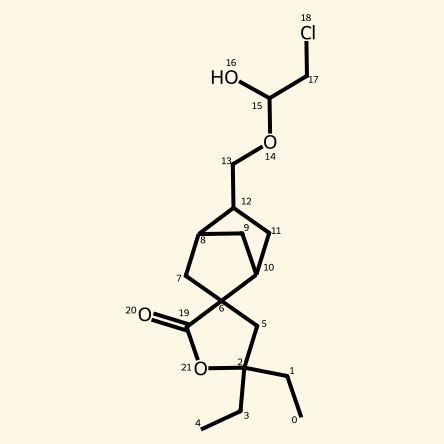 CCC1(CC)CC2(CC3CC2CC3COC(O)CCl)C(=O)O1